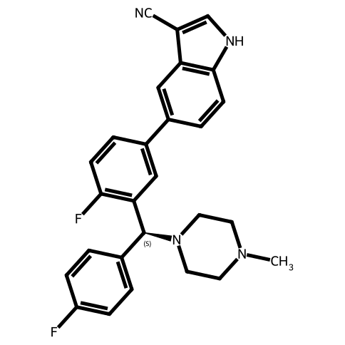 CN1CCN([C@@H](c2ccc(F)cc2)c2cc(-c3ccc4[nH]cc(C#N)c4c3)ccc2F)CC1